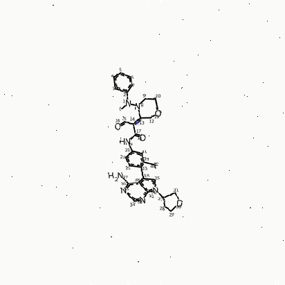 CN(c1ccccc1)N1CCOC/C1=C(/C=O)C(=O)Nc1ccc(-c2cn(C3CCOC3)c3ncnc(N)c23)c(F)c1